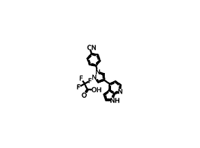 N#Cc1ccc(-n2cc(-c3ccnc4[nH]ccc34)cn2)cc1.O=C(O)C(F)(F)F